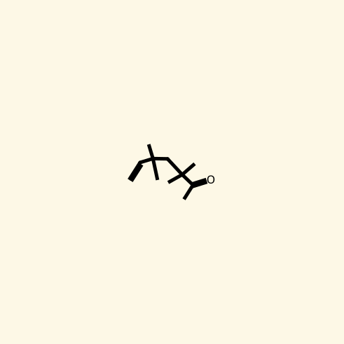 C=CC(C)(C)CC(C)(C)C(C)=O